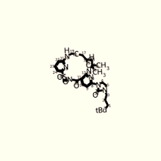 CC(C)(C)CCCN1CCN(c2ccc3c(n2)N2C[C@@H](CCCNc4cccc(n4)S(=O)(=O)NC3=O)CC2(C)C)C1=O